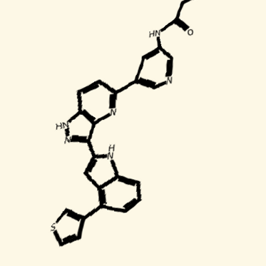 CCC(=O)Nc1cncc(-c2ccc3[nH]nc(-c4cc5c(-c6ccsc6)cccc5[nH]4)c3n2)c1